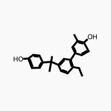 CCc1ccc(C(C)(C)c2ccc(O)cc2)cc1-c1ccc(O)c(C)c1